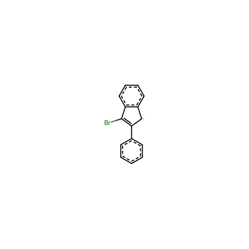 BrC1=C(c2ccccc2)[CH]c2ccccc21